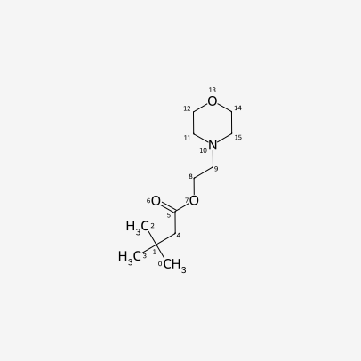 CC(C)(C)CC(=O)OCCN1CCOCC1